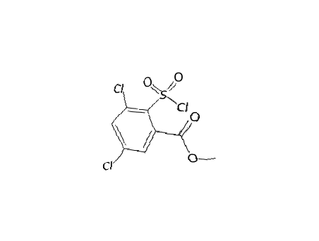 COC(=O)c1cc(Cl)cc(Cl)c1S(=O)(=O)Cl